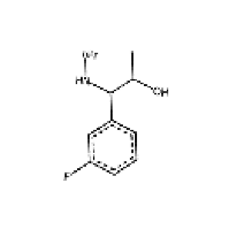 CCCNC(c1cccc(F)c1)C(C)O